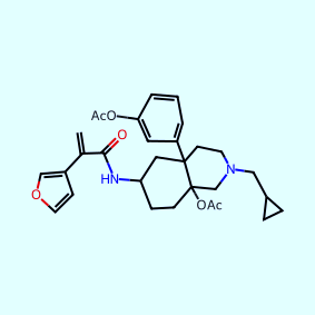 C=C(C(=O)NC1CCC2(OC(C)=O)CN(CC3CC3)CCC2(c2cccc(OC(C)=O)c2)C1)c1ccoc1